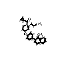 CCC[C@H]1C[C@@H](Oc2ccc(-c3ccc4cccnc4c3C)cc2)CCN1C(=O)C1CC1